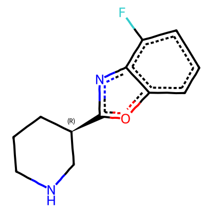 Fc1cccc2oc([C@@H]3CCCNC3)nc12